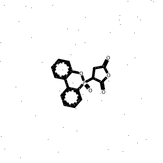 O=C1CC(P2(=O)Oc3ccccc3-c3ccccc32)C(=O)O1